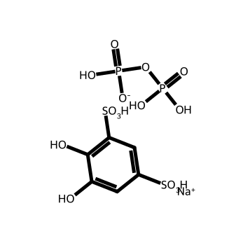 O=P([O-])(O)OP(=O)(O)O.O=S(=O)(O)c1cc(O)c(O)c(S(=O)(=O)O)c1.[Na+]